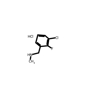 CNCc1cccc(Cl)c1F.Cl